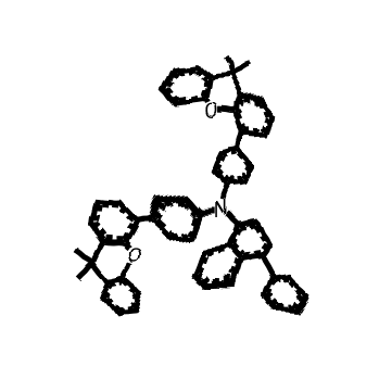 CC1(C)c2ccccc2Oc2c(-c3ccc(N(c4ccc(-c5cccc6c5Oc5ccccc5C6(C)C)cc4)c4ccc(-c5ccccc5)c5ccccc45)cc3)cccc21